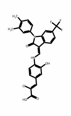 Cc1ccc(N2C(=O)C(=CNc3ccc(C=C(Cl)C(=O)O)cc3O)c3ccc(C(F)(F)F)cc32)cc1C